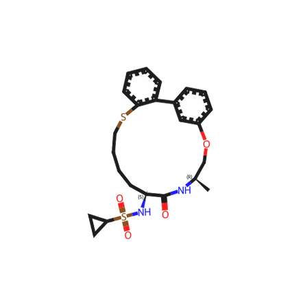 C[C@@H]1COc2cccc(c2)-c2ccccc2SCCCC[C@H](NS(=O)(=O)C2CC2)C(=O)N1